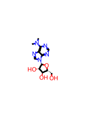 CN(C)c1ncnc2c1ncn2[C@@H]1O[C@H](CO)[C@@H](O)[C@@H]1O